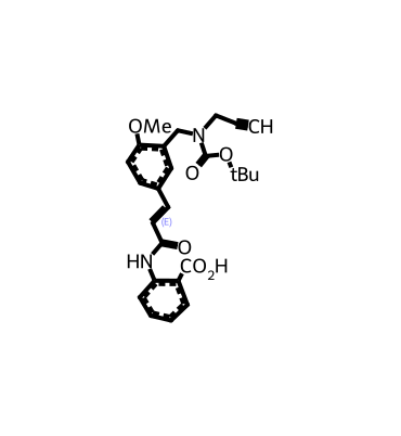 C#CCN(Cc1cc(/C=C/C(=O)Nc2ccccc2C(=O)O)ccc1OC)C(=O)OC(C)(C)C